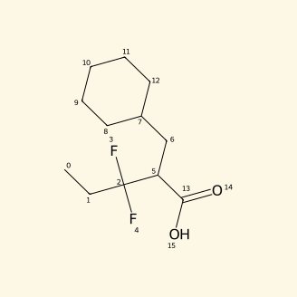 CCC(F)(F)C(CC1CCCCC1)C(=O)O